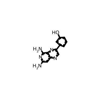 Nc1cc2ncc(-c3cccc(O)c3)nc2c(N)n1